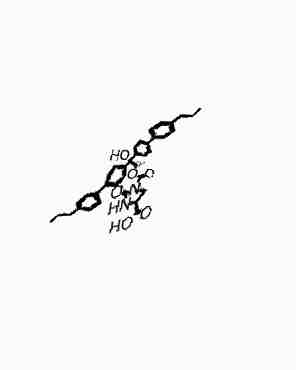 CCCc1ccc(-c2ccc(C(O)(c3ccc(-c4ccc(CCC)cc4)cc3)[C@H](C)OC(=O)N3CC(C(=O)O)NC3=O)cc2)cc1